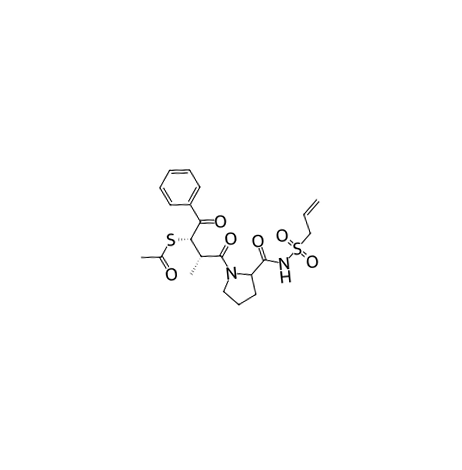 C=CCS(=O)(=O)NC(=O)C1CCCN1C(=O)[C@H](C)[C@H](SC(C)=O)C(=O)c1ccccc1